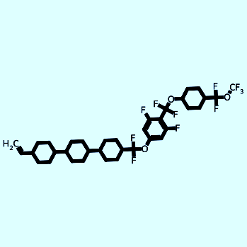 C=CC1CCC(C2CCC(C3CCC(C(F)(F)Oc4cc(F)c(C(F)(F)OC5CCC(C(F)(F)OC(F)(F)F)CC5)c(F)c4)CC3)CC2)CC1